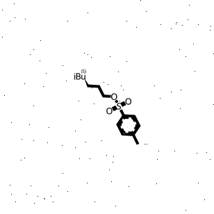 CC[C@H](C)CCCOS(=O)(=O)c1ccc(C)cc1